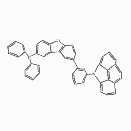 c1ccc(N(c2ccccc2)c2ccc3oc4ccc(-c5cccc(-n6c7cccc8ccc9cccc6c9c87)c5)cc4c3c2)cc1